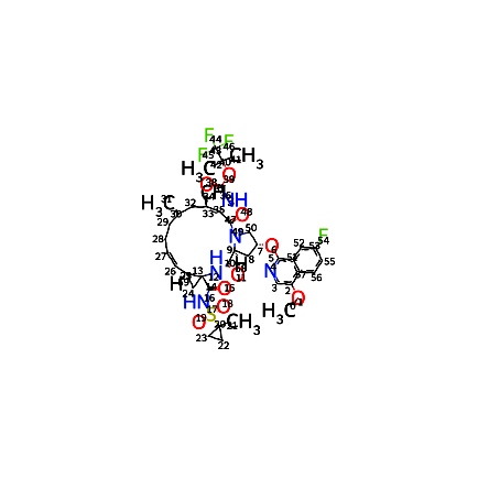 COc1cnc(O[C@@H]2C[C@H]3C(=O)N[C@]4(C(=O)NS(=O)(=O)C5(C)CC5)C[C@H]4/C=C\CC[C@@H](C)C[C@@H](C)[C@H](NC(=O)OC(C)(C)C(F)(F)F)C(=O)N3C2)c2cc(F)ccc12